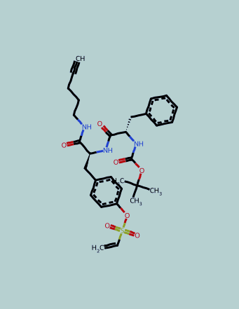 C#CCCCNC(=O)[C@H](Cc1ccc(OS(=O)(=O)C=C)cc1)NC(=O)[C@H](Cc1ccccc1)NC(=O)OC(C)(C)C